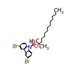 CCCCCCCCCCCCC(C)(C)OC(=O)n1c2ccc(Br)cc2c2cc(Br)ccc21